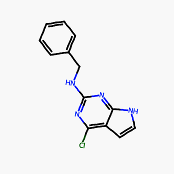 Clc1nc(NCc2ccccc2)nc2[nH]ccc12